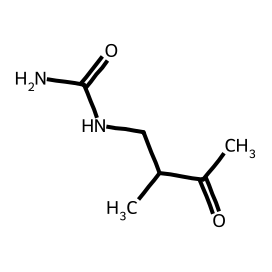 CC(=O)C(C)CNC(N)=O